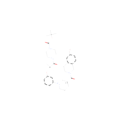 CC(C)(C)OC(=O)N1CCN(C(=O)C(C)(C)Oc2cccc(N3CCC[C@@H](C(=O)N4CCc5cc(Br)ccc5C4)C3)c2)CC1